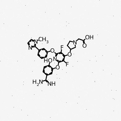 Cn1ccnc1-c1cccc(Oc2nc(Oc3cc(C(=N)N)ccc3O)c(F)c(OC3CCN(CC(=O)O)C3)c2F)c1